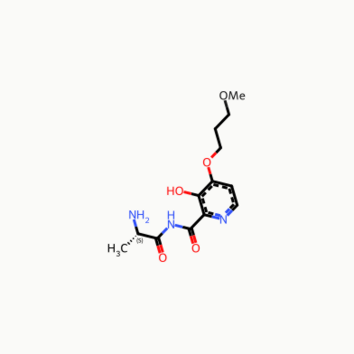 COCCCOc1ccnc(C(=O)NC(=O)[C@H](C)N)c1O